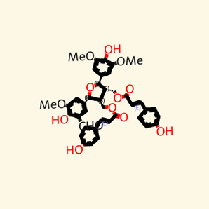 COc1cc([C@@H]2O[C@@H](c3cc(OC)c(O)c(OC)c3)[C@H](COC(=O)/C=C/c3ccc(O)cc3)[C@H]2COC(=O)/C=C/c2ccc(O)cc2)cc(C=O)c1O